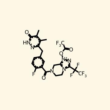 Cc1c(Cc2ccc(F)c(C(=O)N3CCn4c(C(F)(F)C(F)(F)F)n[n+](OC(=O)C(F)(F)F)c4C3)c2)n[nH]c(=O)c1C